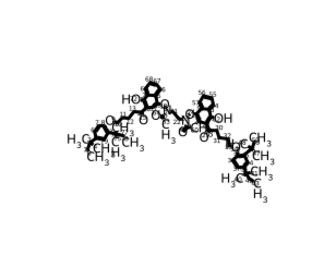 CCC(C)(C)c1ccc(OCCCCC(=O)c2cc(ON(CCN(Oc3cc(C(=O)CCCCOc4ccc(C(C)(C)CC)cc4C(C)(C)CC)c(O)c4ccccc34)C(C)=O)C(C)=O)c3ccccc3c2O)c(C(C)(C)CC)c1